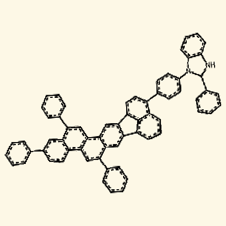 c1ccc(-c2ccc3c(c2)c(-c2ccccc2)cc2c4cc5c(cc4c(-c4ccccc4)cc32)-c2cccc3c(-c4ccc(N6c7ccccc7NC6c6ccccc6)cc4)ccc-5c23)cc1